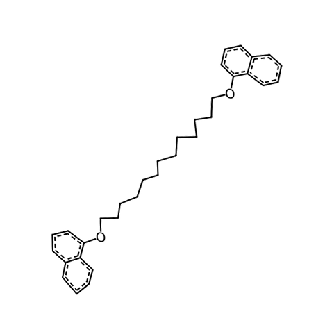 c1ccc2c(OCCCCCCCCCCCCCOc3cccc4ccccc34)cccc2c1